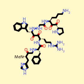 CN[C@@H](Cc1c[nH]cn1)C(=O)CN[C@@H](Cc1ccccc1)C(=O)N[C@@H](CCCNC(N)N)C(=O)C(=O)[C@H](Cc1c[nH]c2ccccc12)NNCC(=O)N[C@@H](CCCCN)C(=O)C(=O)[C@@H]1CCCN1